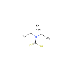 CCN(CC)C(=S)S.[KH].[NaH]